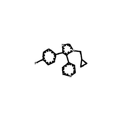 Fc1ccc(-c2ncn(CC3CC3)c2-c2ccncc2)cc1